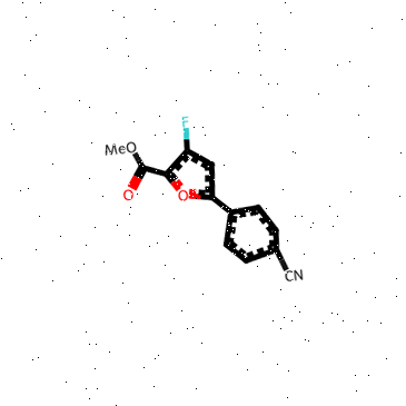 COC(=O)c1oc(-c2ccc(C#N)cc2)cc1F